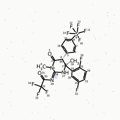 CN1C(=O)[C@H](c2ccc(S(F)(F)(F)(F)F)cc2)[C@@](C)(c2cc(F)ccc2F)N/C1=N/C(=O)C(F)(F)F